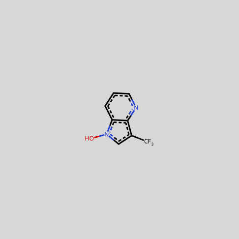 On1cc(C(F)(F)F)c2ncccc21